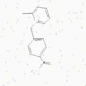 Cc1cccc[n+]1Cc1ccc(C(=O)O)cc1.[Br-]